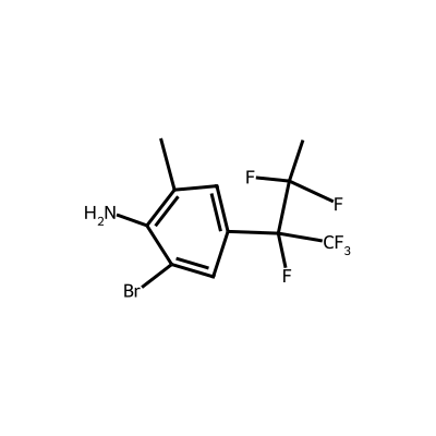 Cc1cc(C(F)(C(C)(F)F)C(F)(F)F)cc(Br)c1N